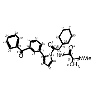 CN[C@@H](C)C(=O)N[C@H](C(=O)n1cccc1-c1cccc(C(=O)c2ccccc2)c1)C1CCCCC1